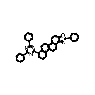 c1ccc(-c2nc(-c3ccccc3)nc(-c3cccc4c3ccc3c4ccc4c3ccc3oc(-c5ccccc5)nc34)n2)cc1